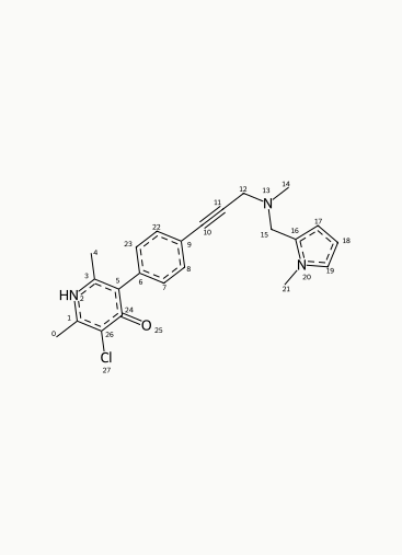 Cc1[nH]c(C)c(-c2ccc(C#CCN(C)Cc3cccn3C)cc2)c(=O)c1Cl